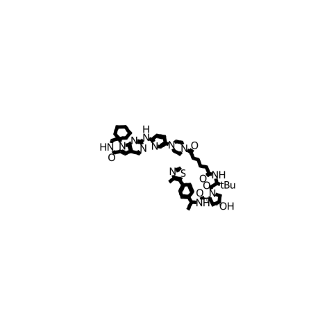 Cc1ncsc1-c1ccc(C(C)NC(=O)[C@@H]2C[C@@H](O)CN2C(=O)C(NC(=O)CCCCC(=O)N2CCN(c3ccc(Nc4ncc5cc6n(c5n4)C4(CCCCC4)CNC6=O)nc3)CC2)C(C)(C)C)cc1